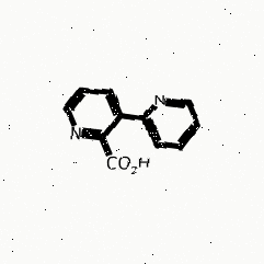 O=C(O)c1ncccc1-c1ccccn1